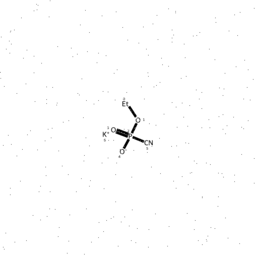 CCOP(=O)([O-])C#N.[K+]